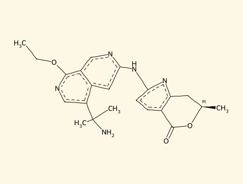 CCOc1ncc(C(C)(C)N)c2cc(Nc3ccc4c(n3)C[C@@H](C)OC4=O)ncc12